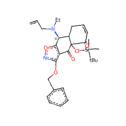 C=CCN(CC)[C@@H]1c2onc(OCc3ccccc3)c2C(=O)C2(O[Si](C)(C)C(C)(C)C)C(=O)C=CCC12